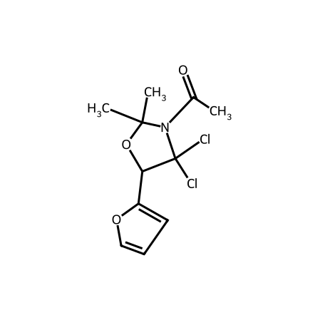 CC(=O)N1C(C)(C)OC(c2ccco2)C1(Cl)Cl